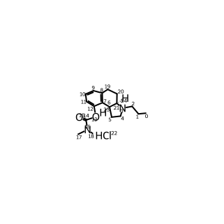 CCCN1CC[C@H]2c3c(cccc3OC(=O)N(C)C)CC[C@H]21.Cl